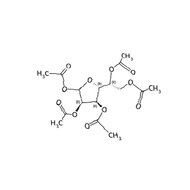 CC(=O)OC[C@@H](OC(C)=O)[C@H]1OC(OC(C)=O)[C@H](OC(C)=O)[C@@H]1OC(C)=O